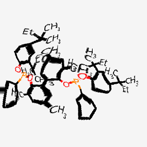 CCC(C)(C)c1ccc(OP(Oc2c(C)cc(C)cc2-c2cc(C)cc(C)c2OP(Oc2ccc(C(C)(C)CC)cc2C(C)(C)CC)c2ccccc2)c2ccccc2)c(C(C)(C)CC)c1